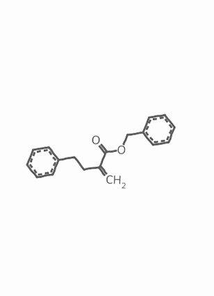 C=C(CCc1ccccc1)C(=O)OCc1ccccc1